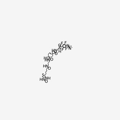 [N-]=[N+]=Nc1c(F)c(F)c(C(=O)NCCNC(=O)O[C@H]2/C=C/CC[C@@](O)(C(=O)NCCCNC(=O)CCCCC3SCC4NC(=O)NC43)CC2)c(F)c1F